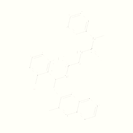 Cc1nc2ccccc2cc1OC(NC(=O)CNC(=O)N(C)c1ccccc1)c1c(Cl)cccc1Cl